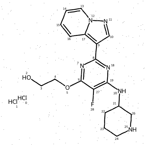 Cl.Cl.OCCOc1nc(-c2cnn3ccccc23)nc(NC2CCCNC2)c1F